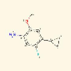 COc1cc(C2CC2)c(F)cc1N